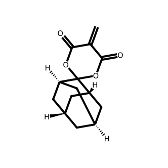 C=C1C(=O)OC2(OC1=O)[C@H]1C[C@@H]3C[C@@H](C[C@H]2C3)C1